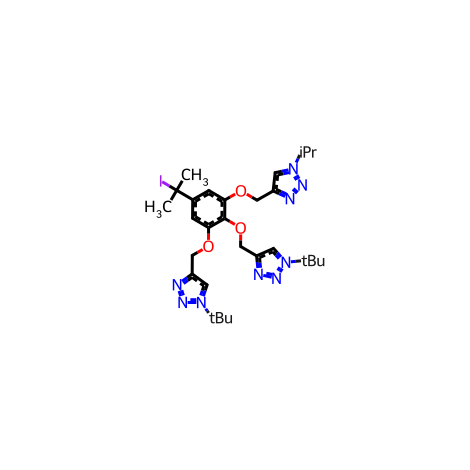 CC(C)n1cc(COc2cc(C(C)(C)I)cc(OCc3cn(C(C)(C)C)nn3)c2OCc2cn(C(C)(C)C)nn2)nn1